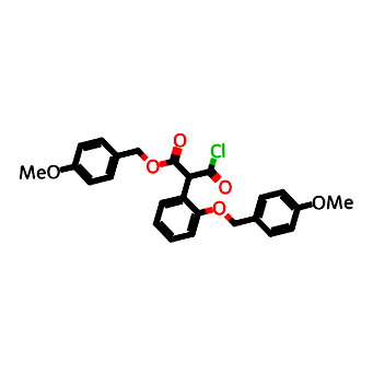 COc1ccc(COC(=O)C(C(=O)Cl)c2ccccc2OCc2ccc(OC)cc2)cc1